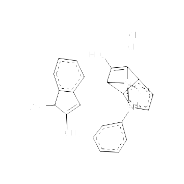 CC1=C2c3ccn(-c4ccccc4)c3C1[Si]2(C)C.CC1=Cc2ccccc2[CH]1[Zr+2].[Cl-].[Cl-]